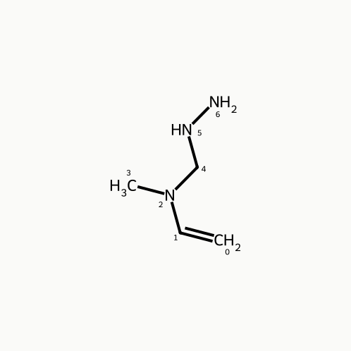 C=CN(C)CNN